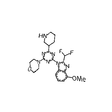 COc1cccc2c1nc(C(F)F)n2-c1nc(C2CCCNC2)nc(N2CCOCC2)n1